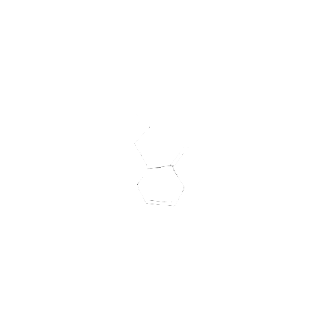 O=C1CC=CCC1CCO